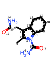 Cc1c(C)n(C(N)=O)c2ccccc12.NC=O